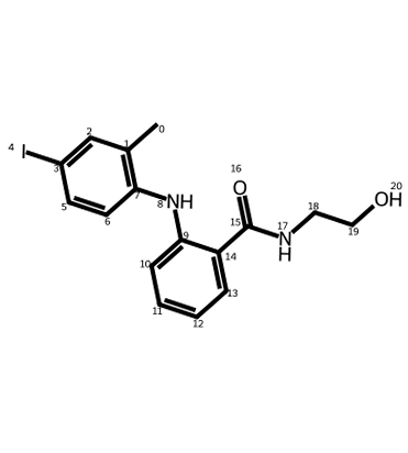 Cc1cc(I)ccc1Nc1ccccc1C(=O)NCCO